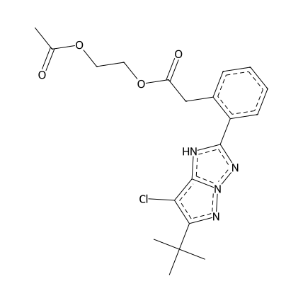 CC(=O)OCCOC(=O)Cc1ccccc1-c1nn2nc(C(C)(C)C)c(Cl)c2[nH]1